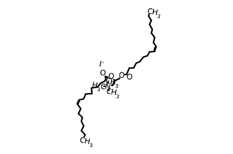 CCCCCCCC/C=C\CCCCCCCC(=O)OCC(C[N+](C)(C)C)OC(=O)CCCCCCC/C=C\CCCCCCCC.[I-]